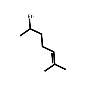 C[CH]C(C)CCC=C(C)C